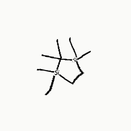 CC1(C)[Si](C)(C)CC[Si]1(C)C